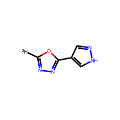 [2H]c1nnc(-c2cn[nH]c2)o1